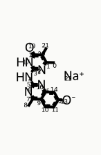 Cc1nc(Nc2nc(C)c3ccc([O-])cc3n2)[nH]c(=O)c1C.[Na+]